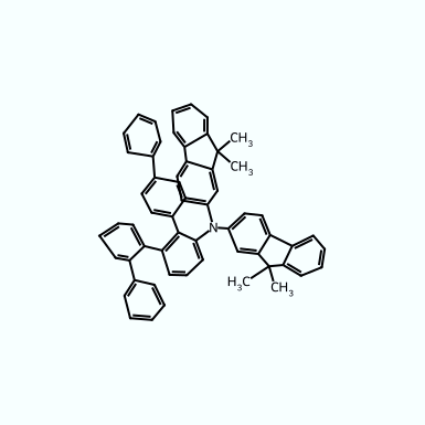 CC1(C)c2ccccc2-c2ccc(N(c3ccc4c(c3)C(C)(C)c3ccccc3-4)c3cccc(-c4ccccc4-c4ccccc4)c3-c3ccc(-c4ccccc4)cc3)cc21